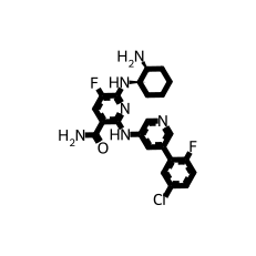 NC(=O)c1cc(F)c(N[C@@H]2CCCC[C@@H]2N)nc1Nc1cncc(-c2cc(Cl)ccc2F)c1